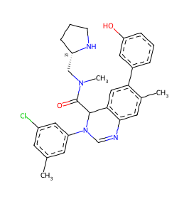 Cc1cc(Cl)cc(N2C=Nc3cc(C)c(-c4cccc(O)c4)cc3C2C(=O)N(C)C[C@@H]2CCCN2)c1